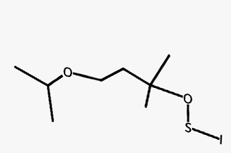 CC(C)OCCC(C)(C)OSI